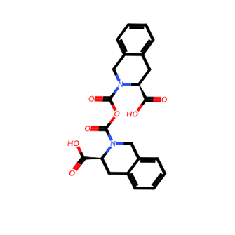 O=C(O)[C@@H]1Cc2ccccc2CN1C(=O)OC(=O)N1Cc2ccccc2C[C@H]1C(=O)O